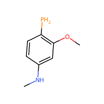 CNc1ccc(P)c(OC)c1